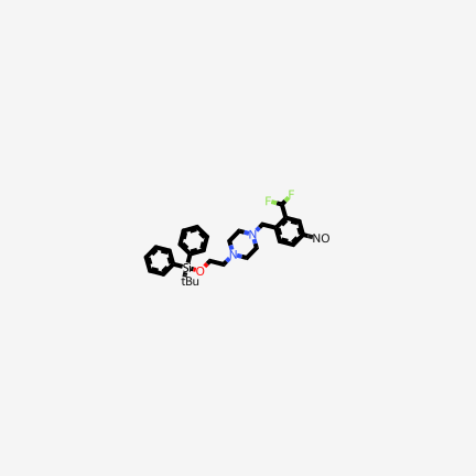 CC(C)(C)[Si](OCCN1CCN(Cc2ccc(N=O)cc2C(F)F)CC1)(c1ccccc1)c1ccccc1